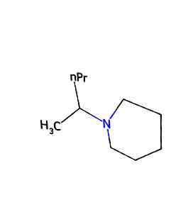 [CH2]CCC(C)N1CCCCC1